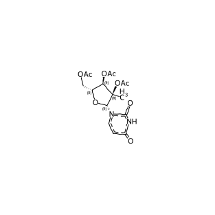 CC(=O)OC[C@H]1O[C@@H](n2ccc(=O)[nH]c2=O)[C@](C)(OC(C)=O)[C@@H]1OC(C)=O